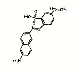 CNc1ccc(N=Nc2ccc3cc(N)ccc3c2)c(S(=O)(=O)O)c1